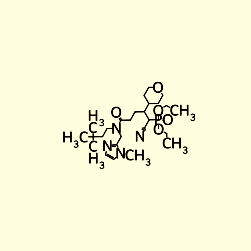 CCOP(=O)(OCC)C(C#N)C(CCC(=O)N(CCC(C)(C)C)Cc1nccn1C)C1CCOCC1